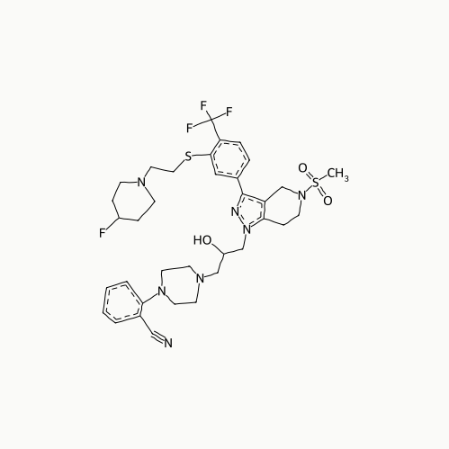 CS(=O)(=O)N1CCc2c(c(-c3ccc(C(F)(F)F)c(SCCN4CCC(F)CC4)c3)nn2CC(O)CN2CCN(c3ccccc3C#N)CC2)C1